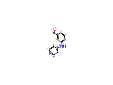 O=Cc1cccc(Nc2ccncc2)c1